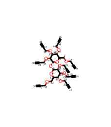 C#CCOCC1O[C@H](O[C@H]2OC(COCC#C)[C@@H](OCC#C)C(OCC#C)C2OCC#C)C(OCC#C)C(OCC#C)[C@@H]1OCC#C